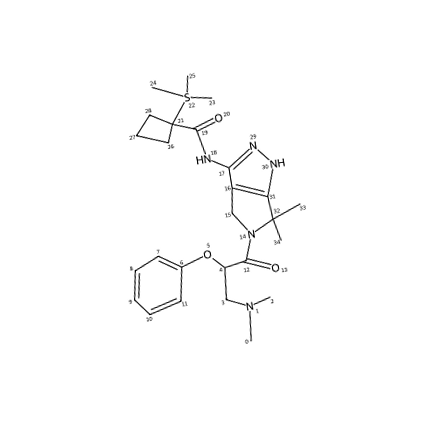 CN(C)CC(Oc1ccccc1)C(=O)N1Cc2c(NC(=O)C3(S(C)(C)C)CCC3)n[nH]c2C1(C)C